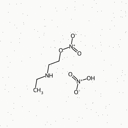 CCNCCO[N+](=O)[O-].O=[N+]([O-])O